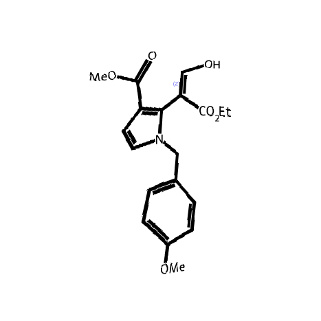 CCOC(=O)/C(=C\O)c1c(C(=O)OC)ccn1Cc1ccc(OC)cc1